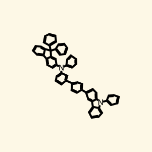 c1ccc(N(c2cccc(-c3ccc(-c4ccc5c(c4)c4ccccc4n5-c4ccccc4)cc3)c2)c2ccc3c(c2)C(c2ccccc2)(c2ccccc2)c2ccccc2-3)cc1